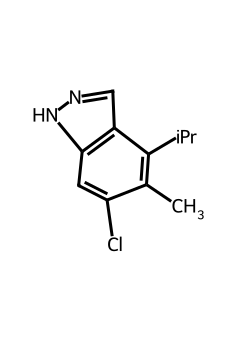 Cc1c(Cl)cc2[nH]ncc2c1C(C)C